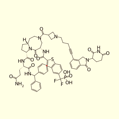 NC(=O)CC[C@H](NC(=O)[C@@H]1CC[C@@H]2CCN(C(=O)C3CN(CCCC#Cc4cccc5c4CN(C4CCC(=O)NC4=O)C5=O)C3)C[C@H](NC(=O)c3cc4cc(C(F)(F)P(=O)(O)O)ccc4s3)C(=O)N21)C(=O)NC(c1ccccc1)c1ccccc1